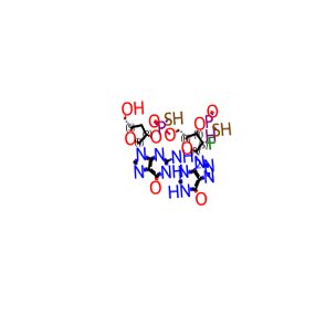 Nc1nc2c(ncn2[C@@H]2O[C@H](CO)C[C@H]2OP(=O)(S)OC[C@H]2O[C@@H](n3nnc4c(=O)[nH]cnc43)[C@@H](F)[C@@H]2O[PH](=O)S)c(=O)[nH]1